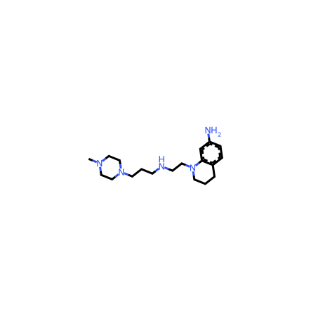 CN1CCN(CCCNCCN2CCCc3ccc(N)cc32)CC1